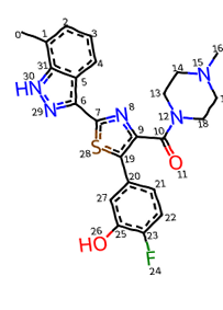 Cc1cccc2c(-c3nc(C(=O)N4CCN(C)CC4)c(-c4ccc(F)c(O)c4)s3)n[nH]c12